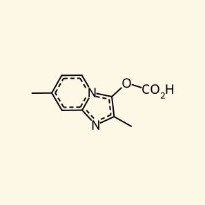 Cc1ccn2c(OC(=O)O)c(C)nc2c1